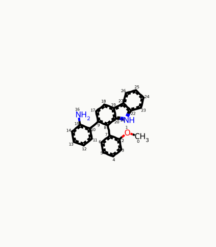 COc1ccccc1-c1c(-c2ccccc2N)ccc2c1[nH]c1ccccc12